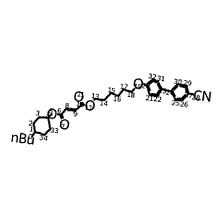 CCCCC1CCC(OC(=O)/C=C/C(=O)OCCCCCCOc2ccc(-c3ccc(C#N)cc3)cc2)CC1